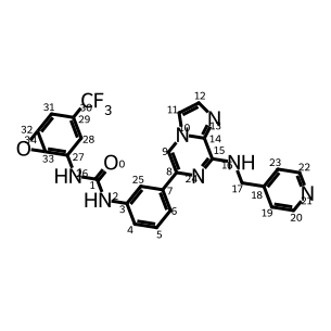 O=C(Nc1cccc(-c2cn3ccnc3c(NCc3ccncc3)n2)c1)Nc1cc(C(F)(F)F)cc2c1O2